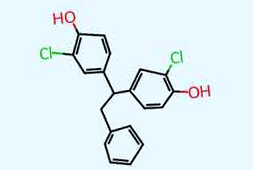 Oc1ccc(C(Cc2ccccc2)c2ccc(O)c(Cl)c2)cc1Cl